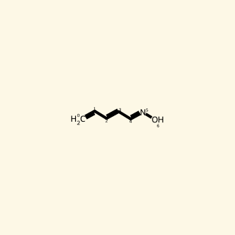 C=CC=CC=NO